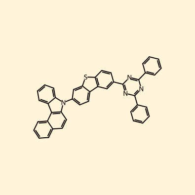 c1ccc(-c2nc(-c3ccccc3)nc(-c3ccc4sc5cc(-n6c7ccccc7c7c8ccccc8ccc76)ccc5c4c3)n2)cc1